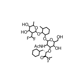 CC(=O)NC1C(OC2CCCC(C)C2OC2OC(C)C(O)C(O)C2C(F)F)OC(CO)C(O)C1O[C@@H](CC1CCCCC1)C(=O)N(C)C